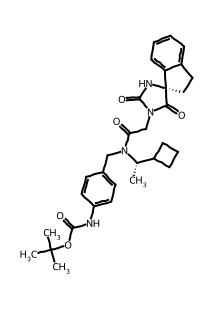 C[C@@H](C1CCC1)N(Cc1ccc(NC(=O)OC(C)(C)C)cc1)C(=O)CN1C(=O)N[C@]2(CCc3ccccc32)C1=O